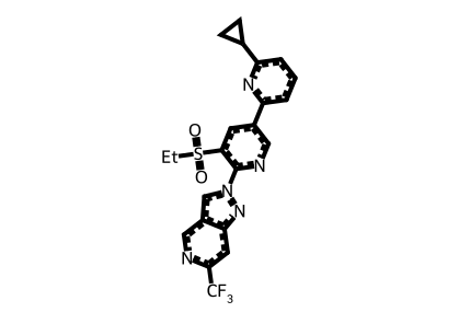 CCS(=O)(=O)c1cc(-c2cccc(C3CC3)n2)cnc1-n1cc2cnc(C(F)(F)F)cc2n1